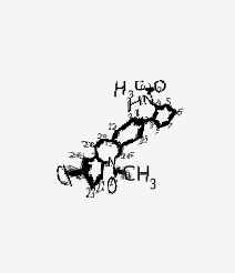 CC(=O)Nc1ccccc1-c1ccc2c(c1)CN(C(C)=O)c1ccc(Cl)cc1C=C2